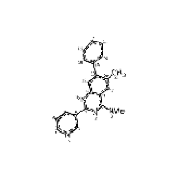 CNc1nc(-c2cccnc2)nc2cc(-c3ccccc3)c(C)cc12